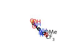 COc1cc2c(Nc3ccc(/C=C/C(=O)NC4CC[S+]([O-])C4O)cc3)ncnc2cc1OCC(F)(F)F